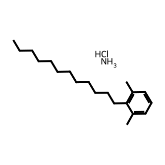 CCCCCCCCCCCCc1c(C)cccc1C.Cl.N